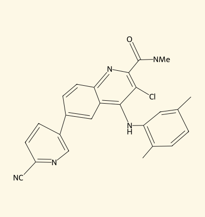 CNC(=O)c1nc2ccc(-c3ccc(C#N)nc3)cc2c(Nc2cc(C)ccc2C)c1Cl